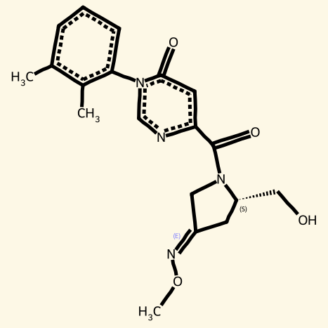 CO/N=C1\C[C@@H](CO)N(C(=O)c2cc(=O)n(-c3cccc(C)c3C)cn2)C1